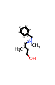 C[C@@H](CCO)CN(C)Cc1ccccc1